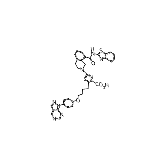 O=C(Nc1nc2ccccc2s1)c1cccc2c1CN(c1nc(C(=O)O)c(CCCCOc3ccc(-n4ncc5cncnc54)cc3)s1)CC2